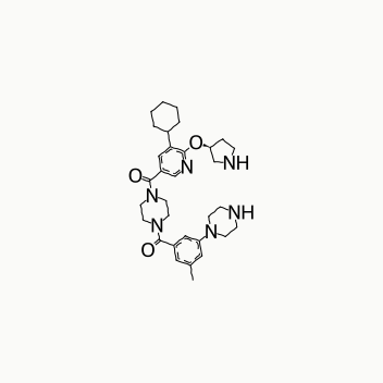 Cc1cc(C(=O)N2CCN(C(=O)c3cnc(O[C@H]4CCNC4)c(C4CCCCC4)c3)CC2)cc(N2CCNCC2)c1